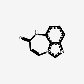 O=C1C=Cn2cnc3cccc(c32)N1